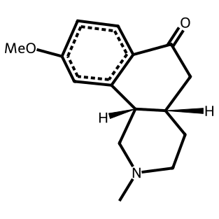 COc1ccc2c(c1)[C@H]1CN(C)CC[C@H]1CC2=O